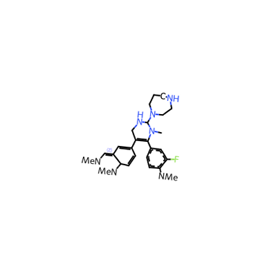 CN/C=C1/C=C(C2=C(c3ccc(NC)c(F)c3)N(C)C(N3CCCNCC3)NC2)C=CC1NC